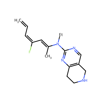 C=C/C=C(F)\C=C(/C)N(CC)c1ncc2c(n1)CCNC2